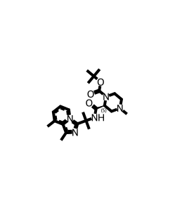 Cc1cccn2c(C(C)(C)NC(=O)[C@@H]3CN(C)CCN3C(=O)OC(C)(C)C)nc(C)c12